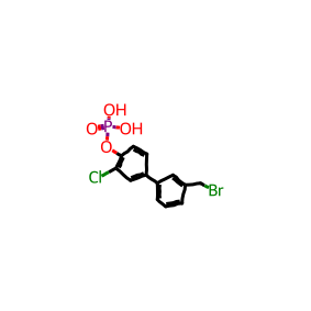 O=P(O)(O)Oc1ccc(-c2cccc(CBr)c2)cc1Cl